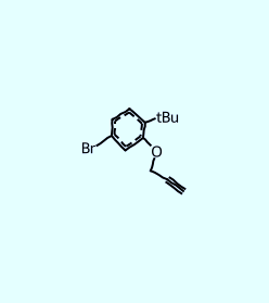 C#CCOc1cc(Br)ccc1C(C)(C)C